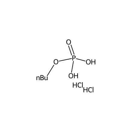 CCCCOP(=O)(O)O.Cl.Cl